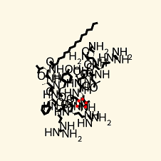 CCCCCCCCCCCCCCCC(=O)N[C@@H](CC(C)C)C(=O)N[C@@H](C)C(=O)N[C@@H](Cc1ccc(O)cc1)C(=O)N[C@@H](Cc1ccccc1)C(=O)N[C@@H](CCCNC(=N)N)C(=O)N[C@@H](CCCNC(=N)N)C(=O)N[C@@H](CC(C)C)C(=O)N[C@@H](Cc1c[nH]cn1)C(=O)N[C@@H](CO)C(=O)N[C@H](C(=O)N[C@@H](CCCNC(=N)N)C(=O)N[C@@H](CC(N)=O)C(N)=O)[C@@H](C)O